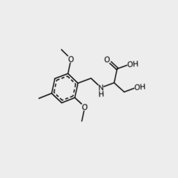 COc1cc(C)cc(OC)c1CNC(CO)C(=O)O